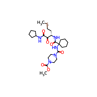 COC(=O)N1CCN(C(=O)NC2(C(=O)N[C@@H](CCSC)C(=O)C(=O)NC3CCCC3)CCCCC2)CC1